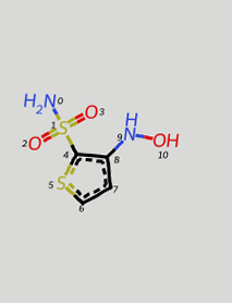 NS(=O)(=O)c1sccc1NO